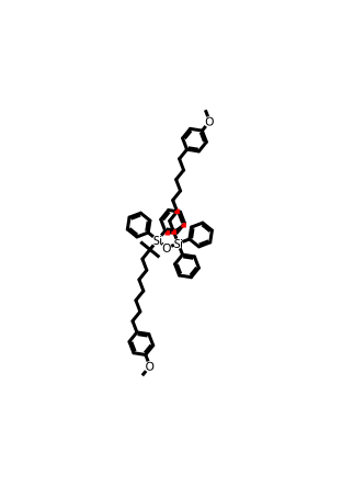 COc1ccc(CCCCCCCC(C)(C)[Si](O[Si](c2ccccc2)(c2ccccc2)C(C)(C)CCCCCCCc2ccc(OC)cc2)(c2ccccc2)c2ccccc2)cc1